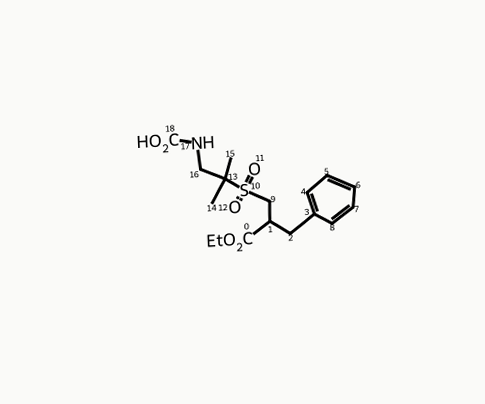 CCOC(=O)C(Cc1ccccc1)CS(=O)(=O)C(C)(C)CNC(=O)O